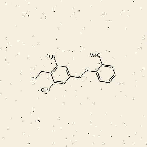 COc1ccccc1OCc1cc([N+](=O)[O-])c(CCl)c([N+](=O)[O-])c1